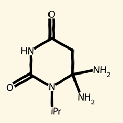 CC(C)N1C(=O)NC(=O)CC1(N)N